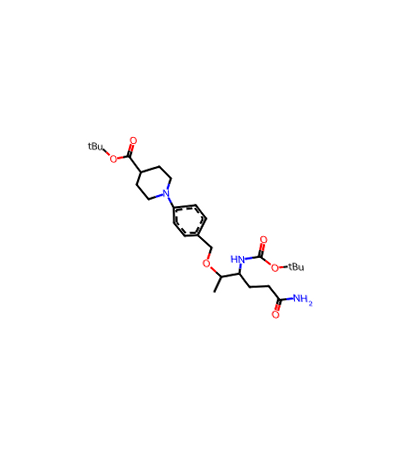 CC(OCc1ccc(N2CCC(C(=O)OC(C)(C)C)CC2)cc1)C(CCC(N)=O)NC(=O)OC(C)(C)C